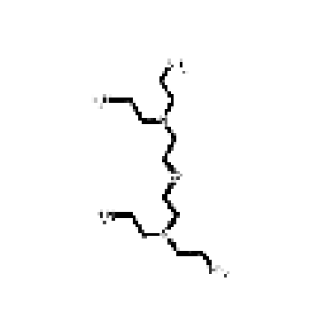 NCCN(CCN)CCOCCN(CCN)CCN